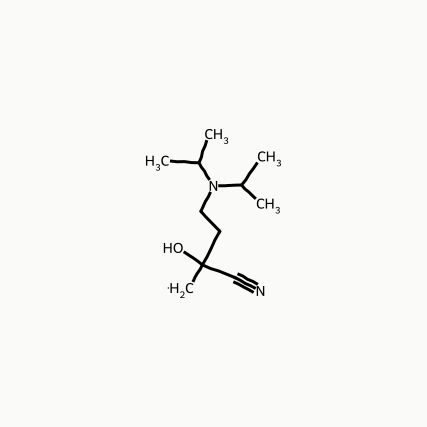 [CH2]C(O)(C#N)CCN(C(C)C)C(C)C